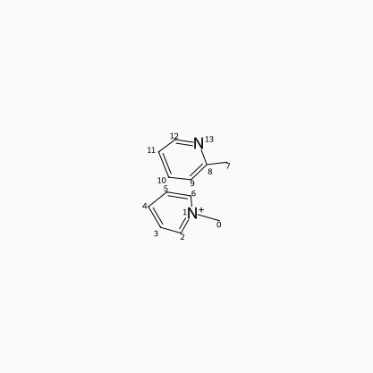 C[n+]1ccccc1.Cc1ccccn1